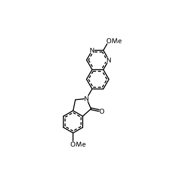 COc1ccc2c(c1)C(=O)N(c1ccc3nc(OC)ncc3c1)C2